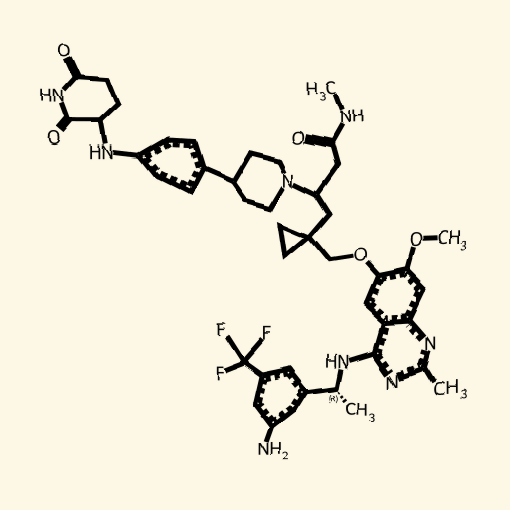 CNC(=O)CC(CC1(COc2cc3c(N[C@H](C)c4cc(N)cc(C(F)(F)F)c4)nc(C)nc3cc2OC)CC1)N1CCC(c2ccc(NC3CCC(=O)NC3=O)cc2)CC1